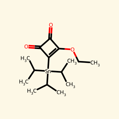 CCOc1[c]([Sn]([CH](C)C)([CH](C)C)[CH](C)C)c(=O)c1=O